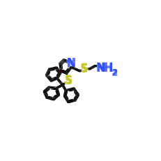 NCCSCc1ncccc1SC(c1ccccc1)(c1ccccc1)c1ccccc1